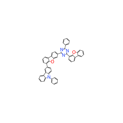 c1ccc(-c2nc(-c3ccc4c(c3)oc3c(-c5ccc6c(c5)c5ccccc5n6-c5ccccc5)cccc34)nc(-c3cccc4c3oc3ccccc34)n2)cc1